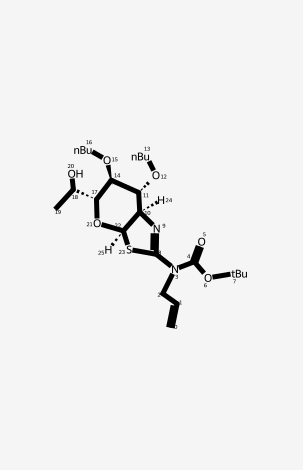 C=CCN(C(=O)OC(C)(C)C)C1=N[C@@H]2[C@@H](OCCCC)[C@H](OCCCC)[C@@H](C(C)O)O[C@@H]2S1